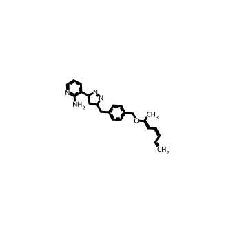 C=C/C=C\C=C(/C)OCc1ccc(CC2CC(c3cccnc3N)N=N2)cc1